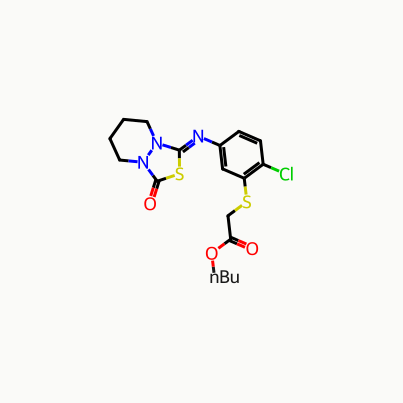 CCCCOC(=O)CSc1cc(/N=c2\sc(=O)n3n2CCCC3)ccc1Cl